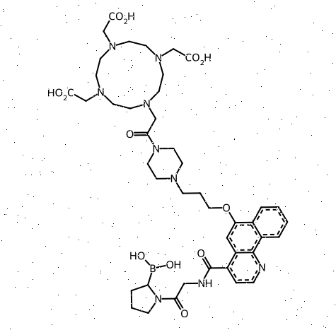 O=C(O)CN1CCN(CC(=O)O)CCN(CC(=O)N2CCN(CCCOc3cc4c(C(=O)NCC(=O)N5CCCC5B(O)O)ccnc4c4ccccc34)CC2)CCN(CC(=O)O)CC1